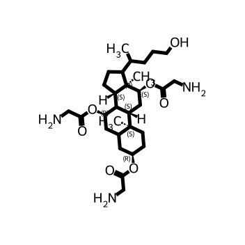 CC(CCCO)C1CC[C@H]2C3[C@H](OC(=O)CN)CC4C[C@H](OC(=O)CN)CC[C@]4(C)[C@H]3C[C@H](OC(=O)CN)[C@]12C